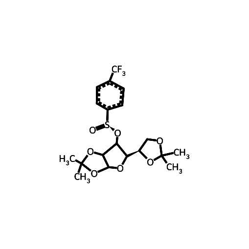 CC1(C)OC2OC([C@H]3COC(C)(C)O3)C(O[S@@](=O)c3ccc(C(F)(F)F)cc3)C2O1